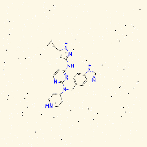 c1cc(Nc2cc(C3CC3)[nH]n2)nc(N(Cc2ccc3[nH]cnc3c2)C2CCNCC2)n1